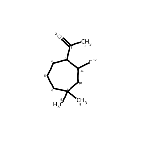 CC(=O)C1CCCC(C)(C)CC1F